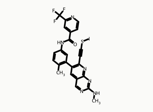 CNc1ncc2cc(-c3cc(NC(=O)c4ccnc(C(F)(F)F)c4)ccc3C)c(C#CSI)nc2n1